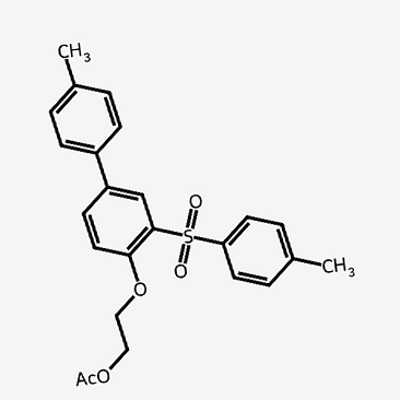 CC(=O)OCCOc1ccc(-c2ccc(C)cc2)cc1S(=O)(=O)c1ccc(C)cc1